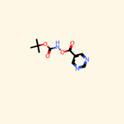 CC(C)(C)OC(=O)NOC(=O)c1cncnc1